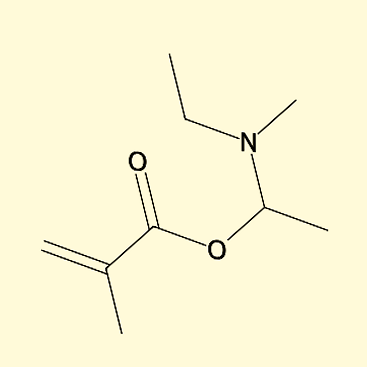 C=C(C)C(=O)OC(C)N(C)CC